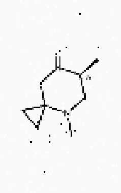 C[C@H]1CN(C)C2(CC2)CN1